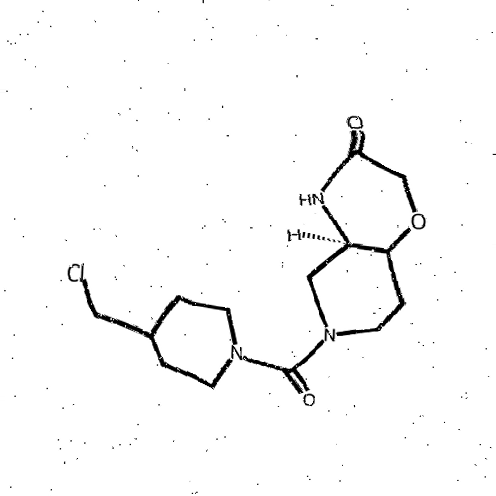 O=C1COC2CCN(C(=O)N3CCC(CCl)CC3)C[C@H]2N1